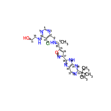 C[C@@H](NCc1ncnc(NCCO)c1Cl)c1cc(-c2nc3cnc(C(C)(C)C)nc3[nH]2)no1